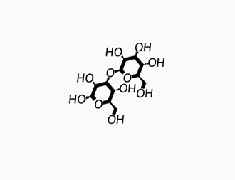 OC[C@H]1O[C@@H](O[C@@H]2[C@@H](O)[C@H](O)O[C@H](CO)[C@H]2O)[C@H](O)[C@@H](O)[C@@H]1O